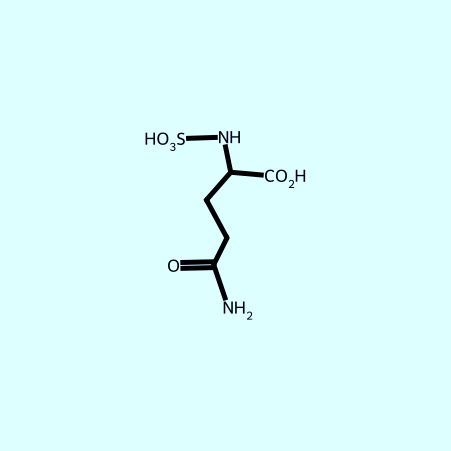 NC(=O)CCC(NS(=O)(=O)O)C(=O)O